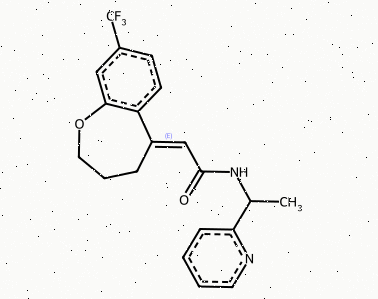 CC(NC(=O)/C=C1\CCCOc2cc(C(F)(F)F)ccc21)c1ccccn1